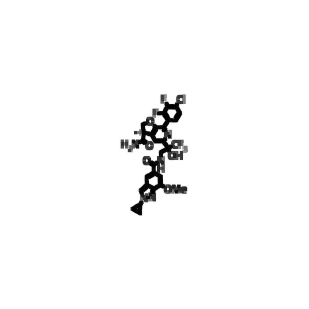 COc1cc(C(=O)NCC(O)(c2cc3c(c(-c4ccc(Cl)c(F)c4F)n2)OC[C@]3(C)C(N)=O)C(F)(F)F)cc2cn(C3CC3)nc12